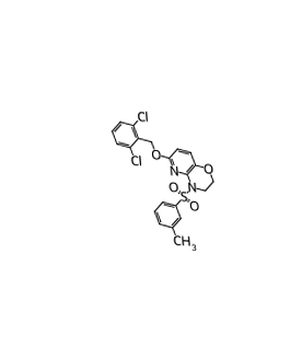 Cc1cccc(S(=O)(=O)N2CCOc3ccc(OCc4c(Cl)cccc4Cl)nc32)c1